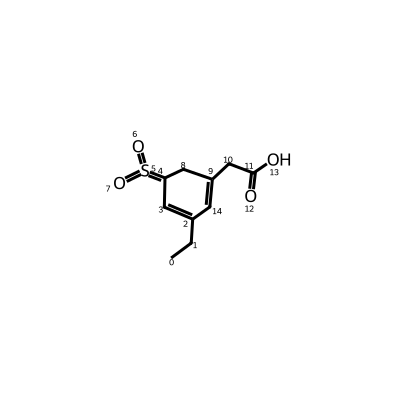 CCC1=CC(=S(=O)=O)CC(CC(=O)O)=C1